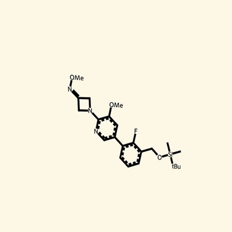 CON=C1CN(c2ncc(-c3cccc(CO[Si](C)(C)C(C)(C)C)c3F)cc2OC)C1